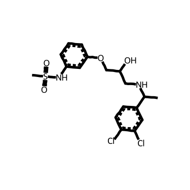 CC(NCC(O)COc1cccc(NS(C)(=O)=O)c1)c1ccc(Cl)c(Cl)c1